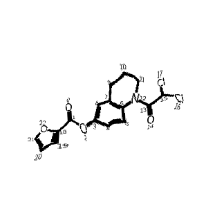 O=C(Oc1ccc2c(c1)CCCN2C(=O)C(Cl)Cl)c1ccco1